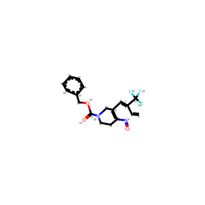 C=C/C(=C\C1=C(N=O)CCN(C(=O)OCc2ccccc2)C1)C(F)(F)F